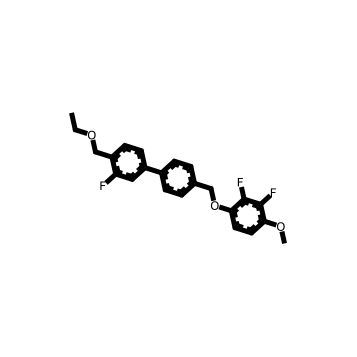 CCOCc1ccc(-c2ccc(COc3ccc(OC)c(F)c3F)cc2)cc1F